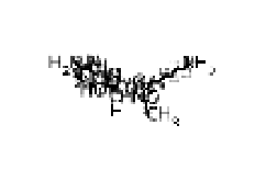 CCC(=O)NP(=O)(OCCCCCCN)OC[C@H]1O[C@@H](n2cnc3c(N)ncnc32)[C@H](O)[C@@H]1O